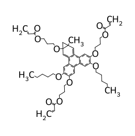 C=CC(=O)OCCCOc1cc2c3c(c4cc(OCCCCC)c(OCCCOC(=O)C=C)cc4c2cc1OCCCCC)=CC1(OCCCOC(=O)C=C)CC1(C)C=3